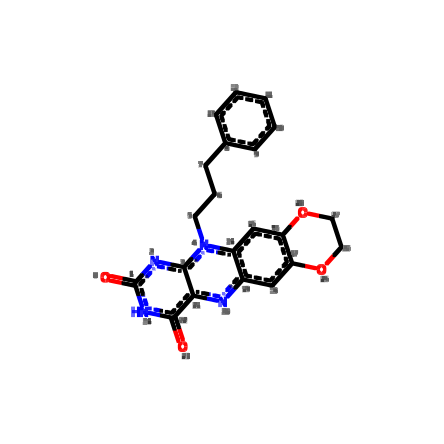 O=c1nc2n(CCCc3ccccc3)c3cc4c(cc3nc-2c(=O)[nH]1)OCCO4